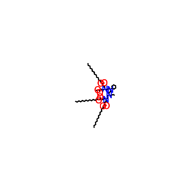 CCCCCCCCCCCCCOC(=O)CCN(CCC(=O)OCCCCCCCCCCCCC)CCN(CCN(CCN(CCC(=O)OC)CCC(=O)OCCCCCCCCCCCCC)C1CCCCC1)C(C)CC